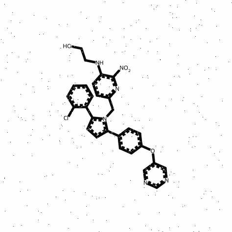 O=[N+]([O-])c1nc(Cn2c(-c3ccc(Oc4cncnc4)cc3)ccc2-c2ccccc2Cl)ccc1NCCO